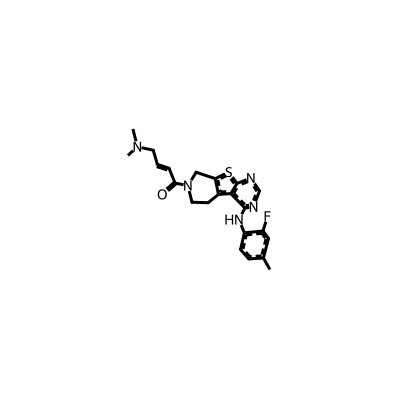 Cc1ccc(Nc2ncnc3sc4c(c23)CCN(C(=O)C=CCN(C)C)C4)c(F)c1